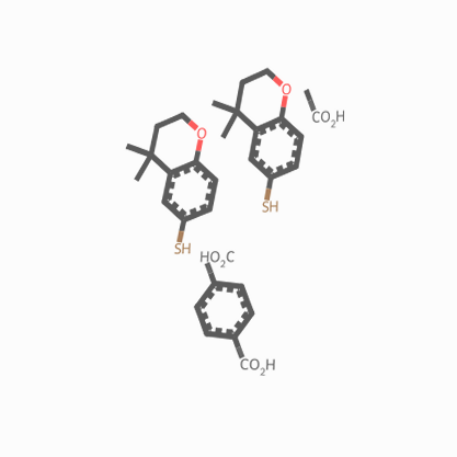 CC(=O)O.CC1(C)CCOc2ccc(S)cc21.CC1(C)CCOc2ccc(S)cc21.O=C(O)c1ccc(C(=O)O)cc1